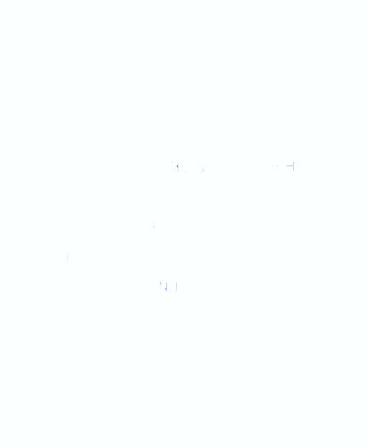 Cc1ccccc1S(=O)(=O)O.NCC1(CC(=O)O)CCCCCC1